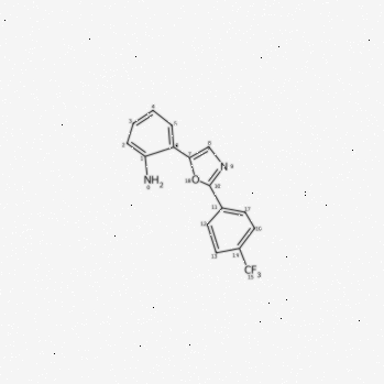 Nc1ccccc1-c1[c]nc(-c2ccc(C(F)(F)F)cc2)o1